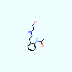 CC(=O)Nc1ccccc1CCNCCO